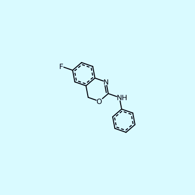 Fc1ccc2c(c1)COC(Nc1ccccc1)=N2